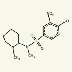 CN1CCCCC1N(C)S(=O)(=O)c1ccc(Cl)c([N+](=O)[O-])c1